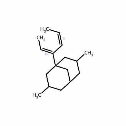 C/C=C\C(=C/C)C12CC(C)CC(CC(C)C1)C2